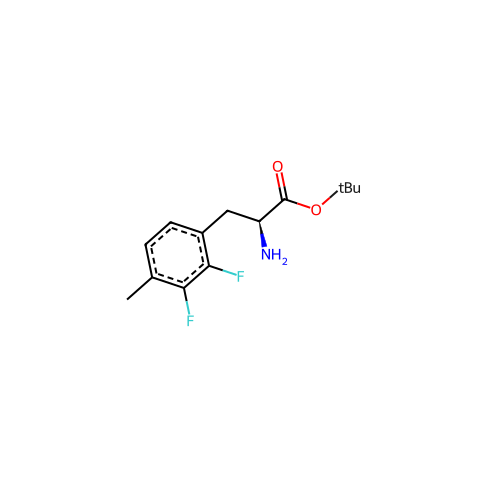 Cc1ccc(C[C@H](N)C(=O)OC(C)(C)C)c(F)c1F